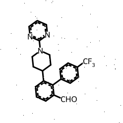 O=Cc1cccc(C2CCN(c3ncccn3)CC2)c1-c1ccc(C(F)(F)F)cc1